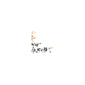 [Al+3].[Mg+2].[Mg+2].[Mg+2].[P-3].[P-3].[P-3]